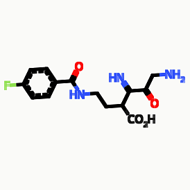 N=C(C(=O)CN)C(CCNC(=O)c1ccc(F)cc1)C(=O)O